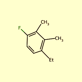 CCc1ccc(F)c(C)c1C